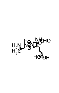 C[C@H](N)CNS(=O)(=O)N1C[C@H](CCCB(O)O)[C@](N)(OC=O)C1